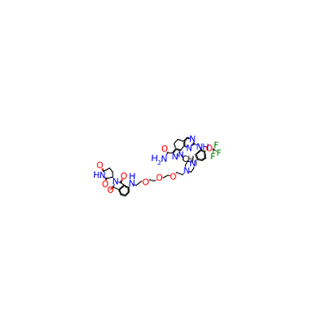 Cn1nc(C(N)=O)c2c1-c1nc(Nc3cc(N4CCN(CCOCCOCCOCCNc5cccc6c5C(=O)N(C5CCC(=O)NC5=O)C6=O)CC4)ccc3OC(F)(F)F)ncc1CC2